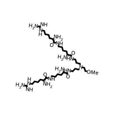 COCCN(CCCNC(=O)[C@@H](N)CCCCNC(=O)[C@@H](N)CCCCNC(=N)N)CCCNC(=O)[C@@H](N)CCCCNC(=O)[C@@H](N)CCCCNC(=N)N